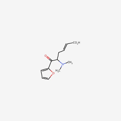 CN(C)C(CC=CC(=O)O)C(=O)c1ccco1